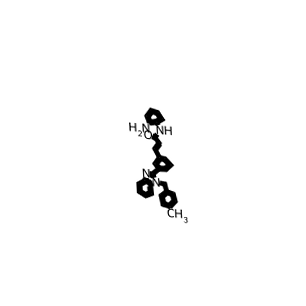 Cc1ccc(Cn2c(-c3cccc(/C=C/C(=O)Nc4ccccc4N)c3)nc3ccccc32)cc1